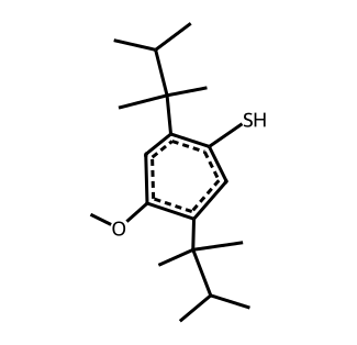 COc1cc(C(C)(C)C(C)C)c(S)cc1C(C)(C)C(C)C